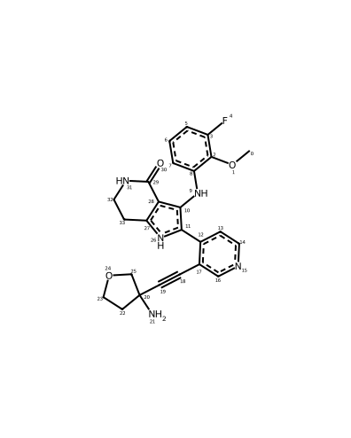 COc1c(F)cccc1Nc1c(-c2ccncc2C#CC2(N)CCOC2)[nH]c2c1C(=O)NCC2